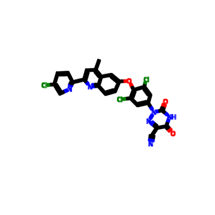 Cc1cc(-c2ccc(Cl)cn2)nc2ccc(Oc3c(Cl)cc(-n4nc(C#N)c(=O)[nH]c4=O)cc3Cl)cc12